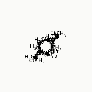 CCc1c(C)nn(Cc2cccc(C[C@H]3OC(=O)[C@H](CC(C)C)N(C)C(=O)[C@@H](C)OC(=O)[C@H](CC(C)C)N(C)C(=O)[C@@H](Cc4cccc(Cn5nc(C)c(CC)c5C)c4)OC(=O)[C@H](CC(C)C)N(C)C(=O)[C@@H](C)OC(=O)[C@H](CC(C)C)N(C)C3=O)c2)c1C